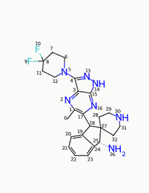 Cc1nc2c(N3CCC(F)(F)CC3)n[nH]c2nc1C1c2ccccc2[C@@H](N)C12CCNCC2